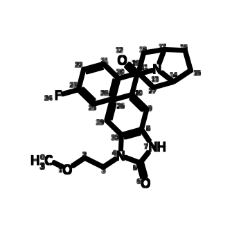 COCCn1c(=O)[nH]c2cc(C(=O)N3C4CCC3CC(c3ccc(F)cc3)C4)ccc21